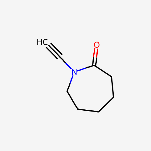 C#CN1CCCCCC1=O